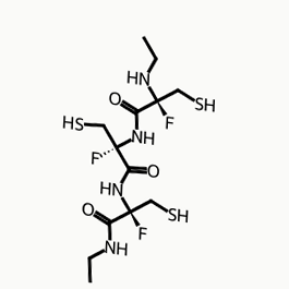 CCNC(=O)[C@@](F)(CS)NC(=O)[C@@](F)(CS)NC(=O)[C@@](F)(CS)NCC